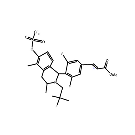 COC(=O)/C=C/c1cc(F)c(C2c3ccc(OS(=O)(=O)C(F)(F)F)c(C)c3CC(C)N2CC(C)(C)F)c(F)c1